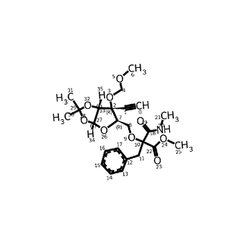 C#C[C@@]1(OCOC)[C@@H](COC(Cc2ccccc2)(C(=O)NC)C(=O)OC)O[C@@H]2OC(C)(C)O[C@@H]21